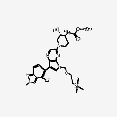 Cn1cc2c(Cl)c(-c3cn(COCC[Si](C)(C)C)c4nc(N5CC[C@H](NC(=O)OC(C)(C)C)[C@@H](O)C5)cnc34)ccc2n1